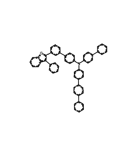 c1ccc(-c2ccc(-c3ccc(N(c4ccc(-c5ccccc5)cc4)c4ccc(-c5cccc(-c6oc7ccccc7c6-c6ccccc6)c5)cc4)cc3)cc2)cc1